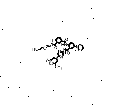 C=C/C=C(\C=C(\C)CC)c1cnc(NC(=O)c2cc(N3CCCCC3)ccc2NC(=O)c2cccc(C(=O)NCCOCCO)c2)cn1